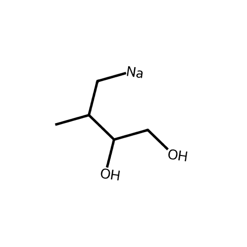 CC([CH2][Na])C(O)CO